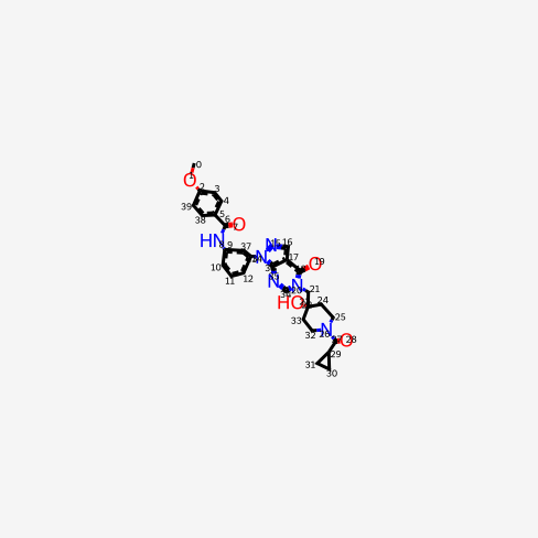 COc1ccc(C(=O)Nc2cccc(-n3ncc4c(=O)n(CC5(O)CCN(C(=O)C6CC6)CC5)cnc43)c2)cc1